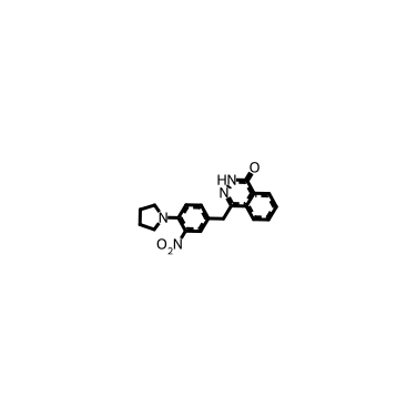 O=c1[nH]nc(Cc2ccc(N3CCCC3)c([N+](=O)[O-])c2)c2ccccc12